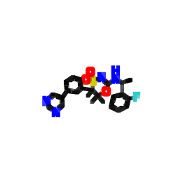 C[C@H](NC1=NS(=O)(=O)C(C)(c2cccc(-c3cncnc3)c2)C(C)(C)O1)c1ccccc1F